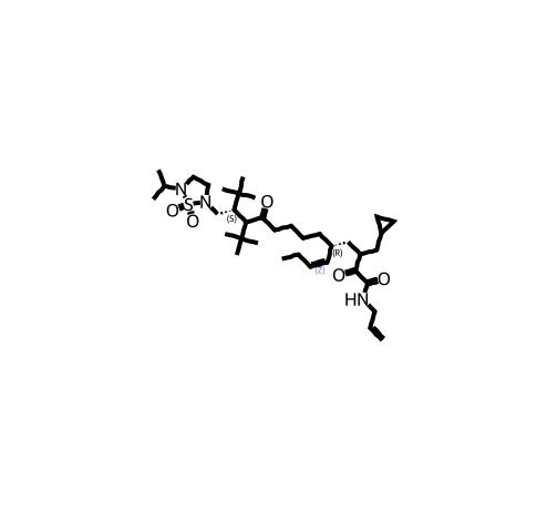 C=CCNC(=O)C(=O)C(CC1CC1)C[C@H](/C=C\CC)CCCCC(=O)C([C@H](CN1CCN(C(C)C)S1(=O)=O)C(C)(C)C)C(C)(C)C